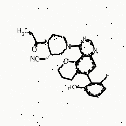 C=CC(=O)N1CCN(c2ncnc3cc(-c4c(O)cccc4F)c4c(c23)OCCC4)C[C@@H]1CC#N